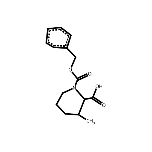 CC1CCCN(C(=O)OCc2ccccc2)C1C(=O)O